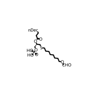 CCCCCCCCCCCCC(=O)O[C@H](COP(=O)(O)O)CSCCCCCCCCOC=O